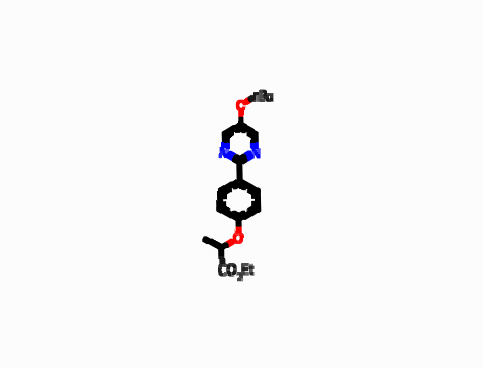 CCCCOc1cnc(-c2ccc(OC(C)C(=O)OCC)cc2)nc1